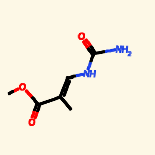 COC(=O)C(C)=CNC(N)=O